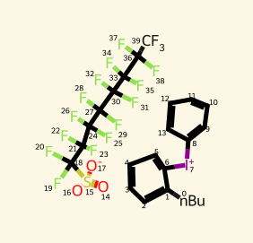 CCCCc1ccccc1[I+]c1ccccc1.O=S(=O)([O-])C(F)(F)C(F)(F)C(F)(F)C(F)(F)C(F)(F)C(F)(F)C(F)(F)C(F)(F)F